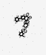 Cc1cccc(OC(=O)N2CCC3(CC2)CSC2=C(O3)c3cc(-c4ccccc4)ccc3C(=O)C2=O)c1